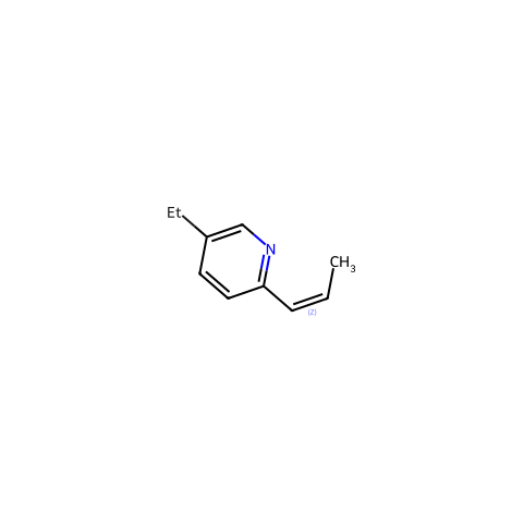 C/C=C\c1ccc(CC)cn1